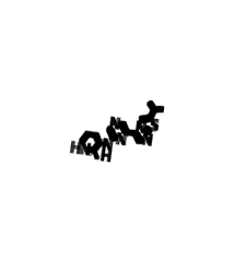 CC(C)c1cn2c(-c3cncc(N[C@@H]4CCCN[C@@H]4C)n3)cnc2s1